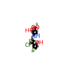 COC(=O)c1ccc(NSc2cc(-c3cc(F)ccc3O)c(Cl)s2)cc1O